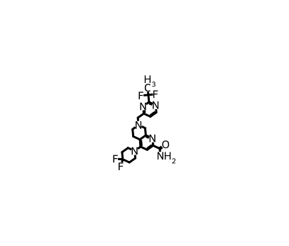 CC(F)(F)c1nccc(CN2CCc3c(N4CCC(F)(F)CC4)cc(C(N)=O)nc3C2)n1